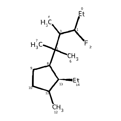 CCC(F)C(C)C(C)(C)C1CCC(C)[C@@H]1CC